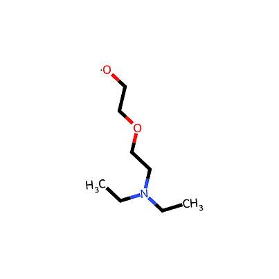 CCN(CC)CCOCC[O]